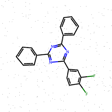 Fc1ccc(-c2nc(-c3ccccc3)nc(-c3ccccc3)n2)cc1F